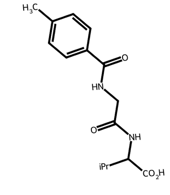 Cc1ccc(C(=O)NCC(=O)NC(C(=O)O)C(C)C)cc1